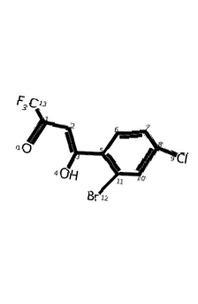 O=C(C=C(O)c1ccc(Cl)cc1Br)C(F)(F)F